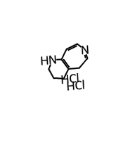 C1=CC2=C(CC=N1)CCCN2.Cl.Cl